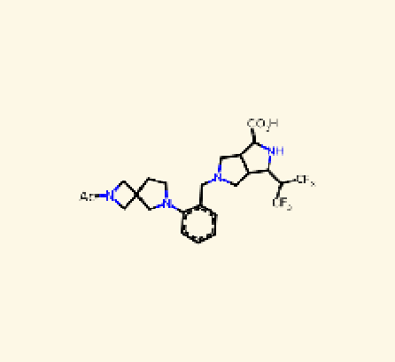 CC(=O)N1CC2(CCN(c3ccccc3CN3CC4C(C(=O)O)NC(C(C(F)(F)F)C(F)(F)F)C4C3)C2)C1